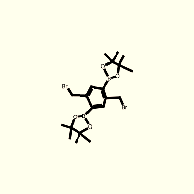 CC1(C)OB(c2cc(CBr)c(B3OC(C)(C)C(C)(C)O3)cc2CBr)OC1(C)C